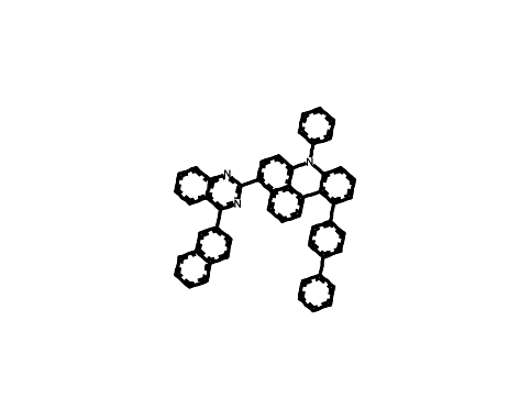 c1ccc(-c2ccc(-c3cccc4c3-c3cccc5c(-c6nc(-c7ccc8ccccc8c7)c7ccccc7n6)ccc(c35)N4c3ccccc3)cc2)cc1